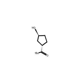 CC(C)(C)C(=O)[C@H]1CC[C@H](O)C1